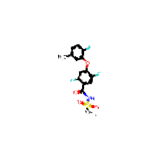 Cc1ccc(F)c(Oc2cc(F)c(C(=O)NS(C)(=O)=O)cc2F)c1